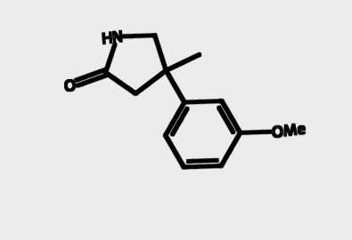 COc1cccc(C2(C)CNC(=O)C2)c1